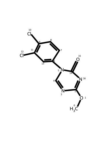 COc1ncn(-c2ccc(Cl)c(Cl)c2)c(=O)n1